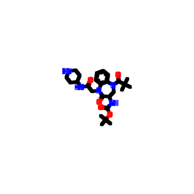 CC(C)(C)OC(=O)NC1CN(C(=O)C(C)(C)C)c2ccccc2N(CC(=O)NC2CCNCC2)C1=O